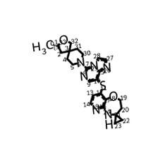 C[C@H]1CC2(CCN(c3ncc(Sc4ccnc5c4OCCC4(CC4)N5)c4nccn34)CC2)CO1